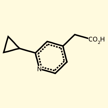 O=C(O)Cc1ccnc(C2CC2)c1